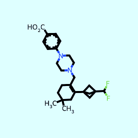 CC1(C)CCC(CN2CCN(c3ccc(C(=O)O)cc3)CC2)=C(C23CC(C(F)F)(C2)C3)C1